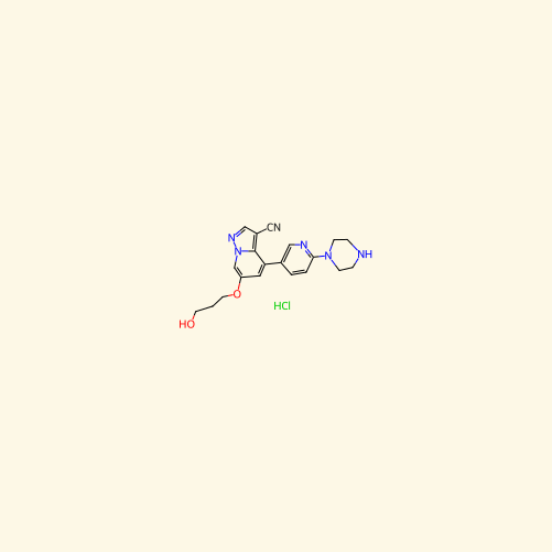 Cl.N#Cc1cnn2cc(OCCCO)cc(-c3ccc(N4CCNCC4)nc3)c12